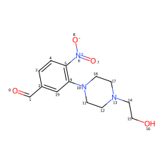 O=Cc1ccc([N+](=O)[O-])c(N2CCN(CCO)CC2)c1